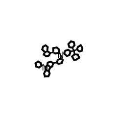 c1ccc(-n2c3ccccc3c3cc(-c4cccc(N(c5ccc(C(c6ccccc6)(c6ccccc6)c6ccccc6)cc5)c5cccc(-c6cccc7ccccc67)c5)c4)ccc32)cc1